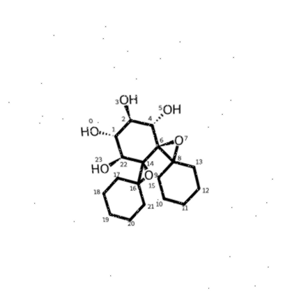 O[C@@H]1[C@@H](O)[C@H](O)[C@@]2(OC23CCCCC3)[C@@]2(OC23CCCCC3)[C@H]1O